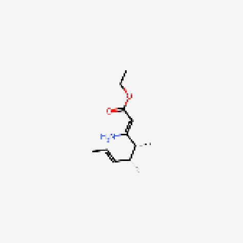 C/C=C/[C@@H](C)[C@@H](C)/C(N)=C/C(=O)OCC